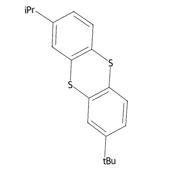 CC(C)c1ccc2c(c1)Sc1cc(C(C)(C)C)ccc1S2